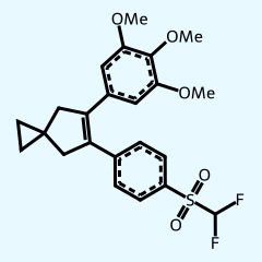 COc1cc(C2=C(c3ccc(S(=O)(=O)C(F)F)cc3)CC3(CC3)C2)cc(OC)c1OC